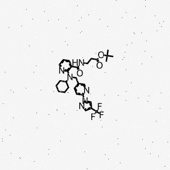 CC(C)(C)OC(=O)CCNC(=O)c1cccnc1N(Cc1ccc(-n2cc(C(F)(F)F)cn2)nc1)C1CCCCC1